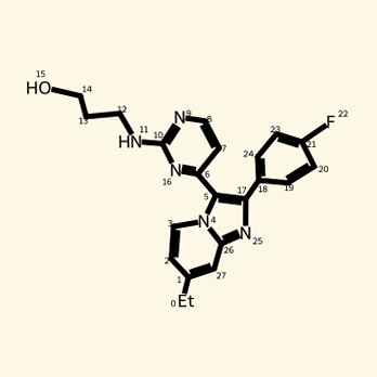 CCc1ccn2c(-c3ccnc(NCCCO)n3)c(-c3ccc(F)cc3)nc2c1